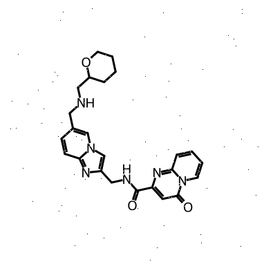 O=C(NCc1cn2cc(CNCC3CCCCO3)ccc2n1)c1cc(=O)n2ccccc2n1